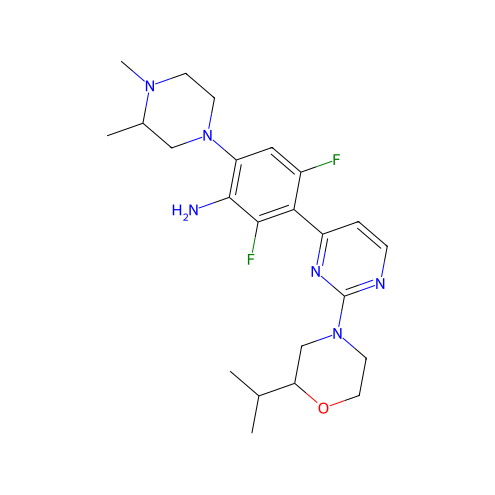 CC(C)C1CN(c2nccc(-c3c(F)cc(N4CCN(C)C(C)C4)c(N)c3F)n2)CCO1